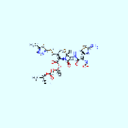 Cc1nnc(SCC2=C(C(=O)OC(C)OC(=O)OC(C)C)N3C(=O)[C@@H](NC(=O)/C(=N\O)c4csc(N)n4)[C@H]3SC2)s1